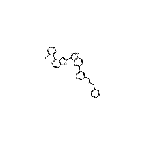 Fc1ccccc1-c1nccc2[nH]c(-c3n[nH]c4ccc(-c5cncc(CNCc6ccccc6)c5)nc34)cc12